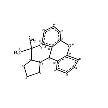 CC(C)(N)C1CCCN1C1c2ccccc2Oc2ccccc21